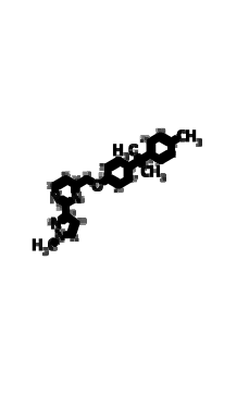 Cc1ccc(C(C)(C)c2ccc(OCc3ccnc(-c4ccn(C)n4)n3)cc2)cc1